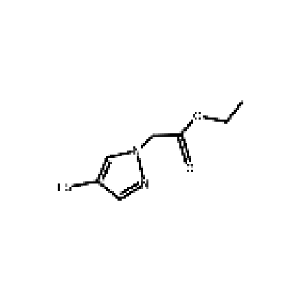 CCOC(=O)Cn1cc(S)cn1